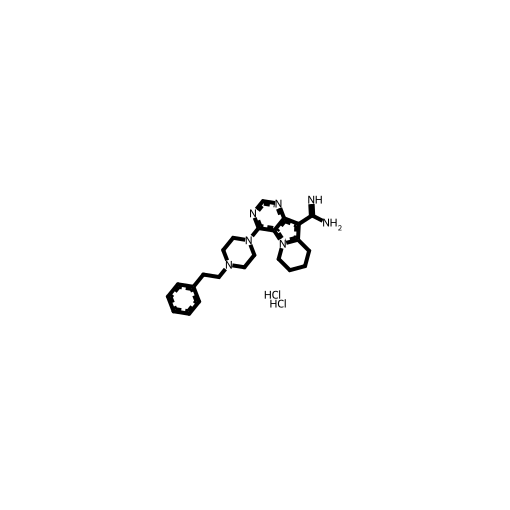 Cl.Cl.N=C(N)c1c2n(c3c(N4CCN(CCc5ccccc5)CC4)ncnc13)CCCC2